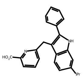 CC(C)c1ccc2c(Cc3cccc(C(=O)O)n3)c(-c3ccccc3)[nH]c2c1